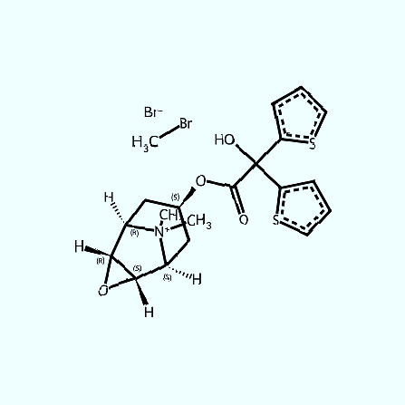 CBr.C[N+]1(C)[C@@H]2C[C@@H](OC(=O)C(O)(c3cccs3)c3cccs3)C[C@H]1[C@@H]1O[C@@H]12.[Br-]